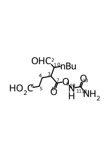 CCCCC(C=O)C(CCC(=O)O)C(=O)ONC(N)=O